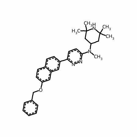 CN(c1ccc(-c2ccc3ccc(OCc4ccccc4)cc3c2)nn1)C1CC(C)(C)NC(C)(C)C1